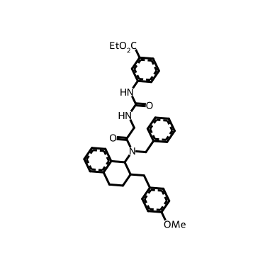 CCOC(=O)c1cccc(NC(=O)NCC(=O)N(Cc2ccccc2)C2c3ccccc3CCC2Cc2ccc(OC)cc2)c1